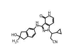 CC1(O)Cc2ccc(Nc3nn(C(CC#N)C4CC4)c4cc[nH]c(=O)c34)cc2C1